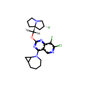 [2H]C([2H])(Oc1nc(N2CCCCC3CC32)c2cnc(Cl)c(F)c2n1)[C@@]12CCCN1C[C@H](F)C2